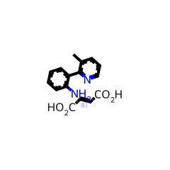 Cc1cccnc1-c1ccccc1N.O=C(O)/C=C/C(=O)O